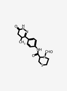 CC1CC(=O)NN=C1c1ccc(NC(=O)C2CSCCN2C=O)cc1